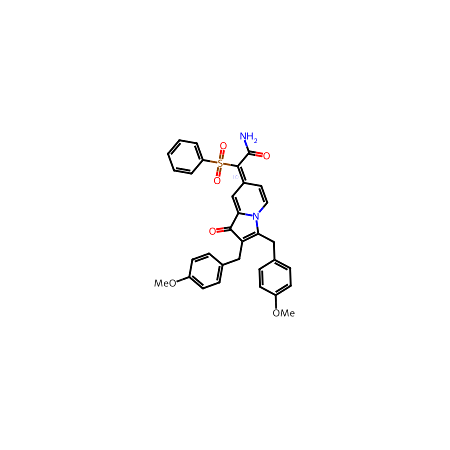 COc1ccc(CC2=C(Cc3ccc(OC)cc3)N3C=C/C(=C(\C(N)=O)S(=O)(=O)c4ccccc4)C=C3C2=O)cc1